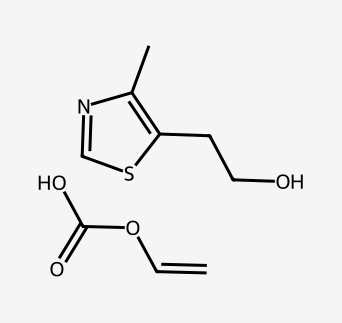 C=COC(=O)O.Cc1ncsc1CCO